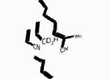 C=CC#N.C=CC(=O)O.C=CC=C.C=CC=CC=C(C#N)CCCC